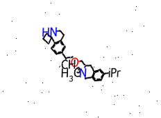 CC(C)c1ccc2c(c1)CC(COCC(C)c1ccc3c(c1)CCNC31CCC1)N(C)C2